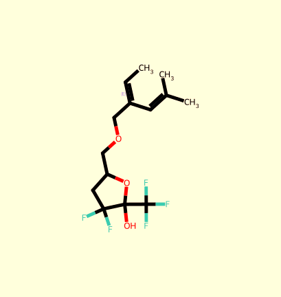 C/C=C(\C=C(C)C)COCC1CC(F)(F)C(O)(C(F)(F)F)O1